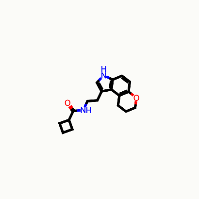 O=C(NCCc1c[nH]c2ccc3c(c12)CCCO3)C1CCC1